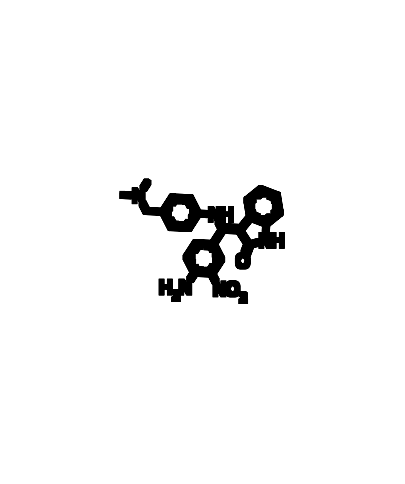 CN(C)Cc1ccc(NC(=C2C(=O)Nc3ccccc32)c2ccc(N)c([N+](=O)[O-])c2)cc1